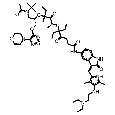 CCN(CC)CCNc1c(C)[nH]c(/C=C2\C(=O)Nc3ccc(NC(=O)CCC(=O)C(CC)(CC)O[C@@H](C)C(=O)C(C)(CC)O[C@H](COc4nsnc4N4CCOCC4)CN(C(C)=O)C(C)(C)C)cc32)c1C